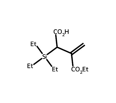 C=C(C(=O)OCC)C(C(=O)O)[Si](CC)(CC)CC